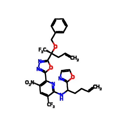 C=CCCC(Nc1nc(-c2nnc([C@@](CC=C)(OCc3ccccc3)C(F)(F)F)o2)c([N+](=O)[O-])cc1C(F)(F)F)c1ncco1